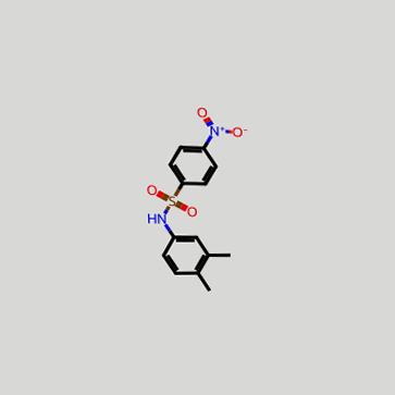 Cc1ccc(NS(=O)(=O)c2ccc([N+](=O)[O-])cc2)cc1C